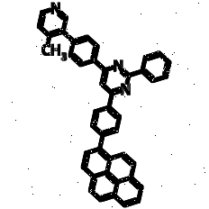 Cc1ccncc1-c1ccc(-c2cc(-c3ccc(-c4ccc5ccc6cccc7ccc4c5c67)cc3)nc(-c3ccccc3)n2)cc1